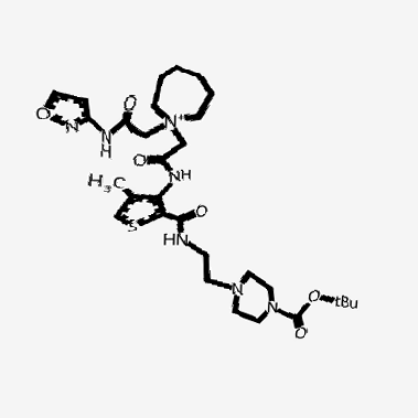 Cc1csc(C(=O)NCCN2CCN(C(=O)OC(C)(C)C)CC2)c1NC(=O)C[N+]1(CC(=O)Nc2ccon2)CCCCCC1